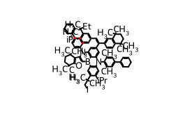 CCC(C)(C)c1cc(/C=C(\c2cc3c4c(c2)N(c2c(C)cc(C5=CCCC=C5)cc2C)c2cc(C(C)C)c(C(C)(C)CI)cc2B4c2oc4c(c2N3c2ccc(-c3ccccc3)cc2)C(C)(C)CCC4(C)C)c2ccc3c(c2)C(C)(C)CCC3(C)C)ccc1C(C)C